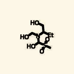 CCC(CO)N(CO)C(O)S(C)(=O)=O